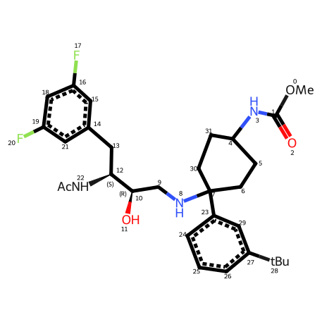 COC(=O)NC1CCC(NC[C@@H](O)[C@H](Cc2cc(F)cc(F)c2)NC(C)=O)(c2cccc(C(C)(C)C)c2)CC1